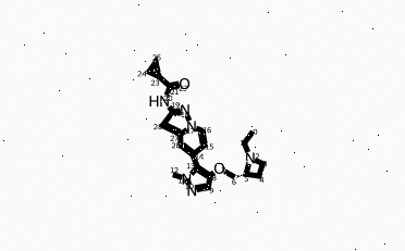 CCN1CC[C@@H]1COc1cnn(C)c1-c1ccn2nc(NC(=O)C3CC3)cc2c1